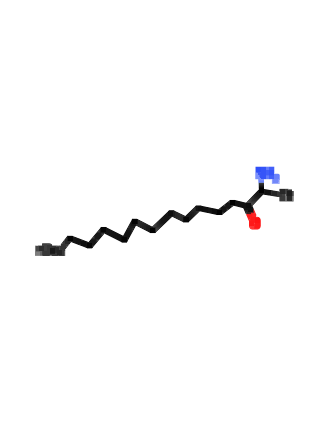 CCCCCCCCCCCCCCCCCCCCCC(=O)C(N)CC